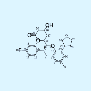 Cc1cc(CCc2ccc(F)cc2)c(OCC2CC(O)CC(=O)O2)c(C2CCCC2)c1